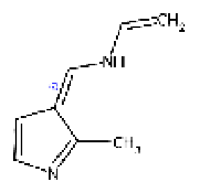 C=CN/C=C1/C=CN=C1C